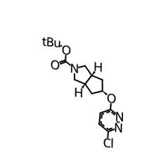 CC(C)(C)OC(=O)N1C[C@H]2C[C@H](Oc3ccc(Cl)nn3)C[C@H]2C1